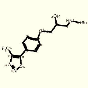 CC(C)(C)NCC(O)COc1ccc(-c2snnc2C(F)(F)F)cc1